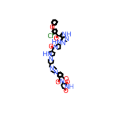 O=C1CCC(N2C(=O)c3ccc(N4CCN(CC5CCN(C6CCC(C(=O)N7CCC[C@@H](Nc8ncnc9[nH]cc(C(=O)c%10ccc(Oc%11ccccc%11)cc%10Cl)c89)C7)CN6)CC5)CC4)cc3C2=O)C(=O)N1